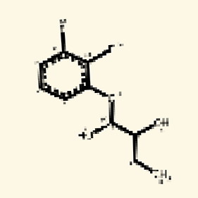 CCC(O)[C@@H](O)Oc1cccc(F)c1F